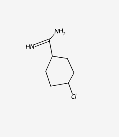 N=C(N)C1CCC(Cl)CC1